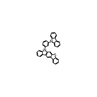 c1cc(-n2c3ccccc3c3ccccc32)cc(-n2c3ccccc3c3cc4c(cc32)sc2ccccc24)c1